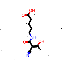 C/C(O)=C(\C#N)C(=O)NCCCCC(=O)O